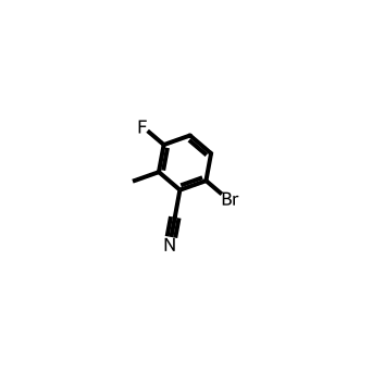 Cc1c(F)ccc(Br)c1C#N